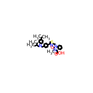 CCC(CC)CN(Cc1ccc(-c2csc(CN(C(=O)N(C)CC(=O)O)c3ccccc3)n2)cc1)c1ccc(C(C)C)cc1